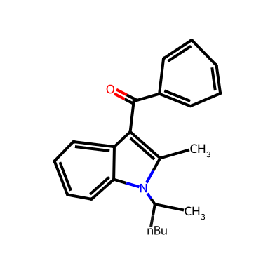 CCCCC(C)n1c(C)c(C(=O)c2ccccc2)c2ccccc21